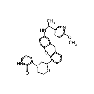 COc1cnc(C(C)Nc2ccc3c(c2)Cc2cccc(C4CN(c5ccc[nH]c5=O)CCO4)c2O3)cn1